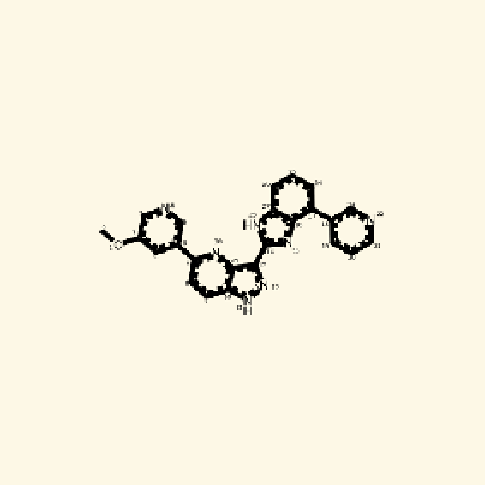 COc1cncc(-c2ccc3[nH]nc(-c4nc5c(-c6cccnc6)cccc5[nH]4)c3n2)c1